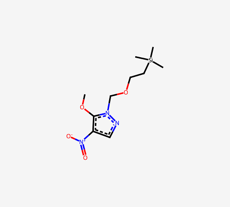 COc1c([N+](=O)[O-])cnn1COCC[Si](C)(C)C